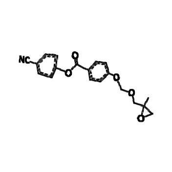 CC1(COCOc2ccc(C(=O)Oc3ccc(C#N)cc3)cc2)CO1